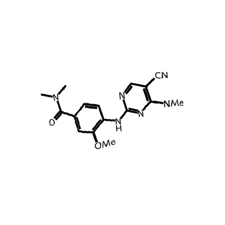 CNc1nc(Nc2ccc(C(=O)N(C)C)cc2OC)ncc1C#N